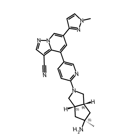 Cn1ccc(-c2cc(-c3ccc(N4C[C@@H]5C[C@@](C)(N)C[C@@H]5C4)nc3)c3c(C#N)cnn3c2)n1